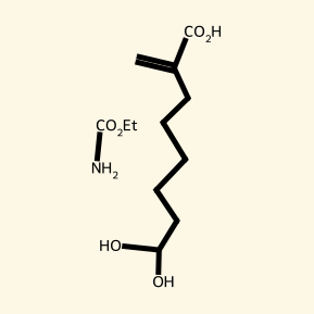 C=C(CCCCCC(O)O)C(=O)O.CCOC(N)=O